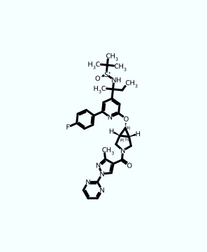 CCC(C)(N[S+]([O-])C(C)(C)C)c1cc(O[C@@H]2[C@@H]3CN(C(=O)c4cn(-c5ncccn5)nc4C)C[C@@H]32)nc(-c2ccc(F)cc2)c1